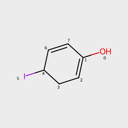 OC1=CCC(I)C=C1